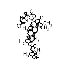 CC(C)C1=C2[C@H]3CC[C@@H]4[C@@]5(C)CC[C@H](OC(=O)CC(C)(C)C(=O)O)C6(C)C[C@]65CC[C@@]4(C)[C@]3(C)CCC2([C@@H]2CN(C3(c4ncc(Cl)cn4)CC3)C(=O)O2)CC1=O